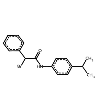 CC(C)c1ccc(NC(=O)C(Br)c2ccccc2)cc1